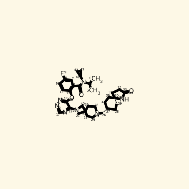 CC(C)N(C(=O)c1cc(F)ccc1Oc1nncnc1N1CC2(CCN(C[C@H]3CC[C@@]4(CCC(=O)N4)CC3)CC2)C1)C1CC1